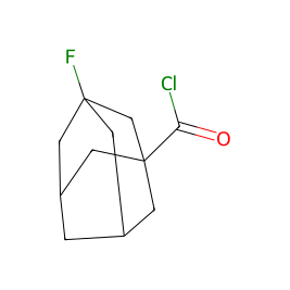 O=C(Cl)C12CC3CC(CC(F)(C3)C1)C2